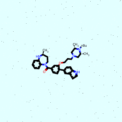 CCCCN1[C@H](C)CN(CCCOc2cc(C(=O)N3CC[C@H](C)Nc4ccccc43)ccc2-c2ccc3[nH]ccc3c2)C[C@@H]1C